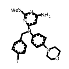 CSc1nc(N)cc(N(Cc2ccc(F)cc2)c2ccc(N3CCOCC3)cc2)n1